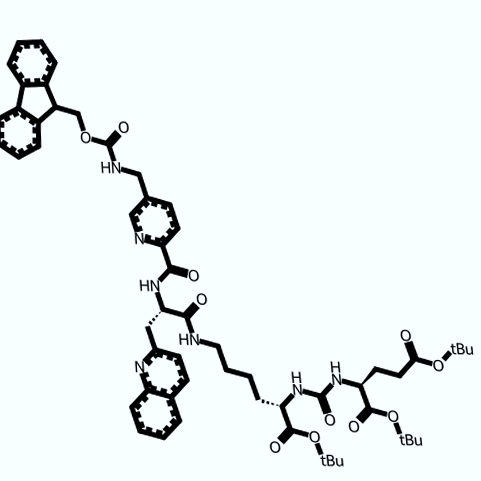 CC(C)(C)OC(=O)CC[C@H](NC(=O)N[C@@H](CCCCNC(=O)[C@H](Cc1ccc2ccccc2n1)NC(=O)c1ccc(CNC(=O)OCC2c3ccccc3-c3ccccc32)cn1)C(=O)OC(C)(C)C)C(=O)OC(C)(C)C